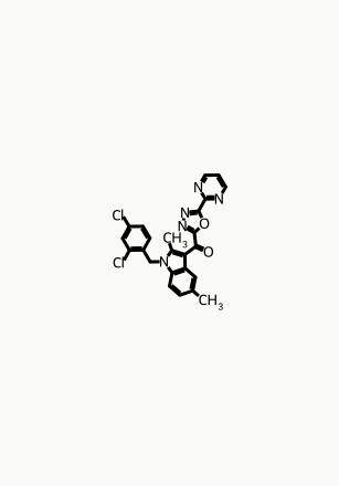 Cc1ccc2c(c1)c(C(=O)c1nnc(-c3ncccn3)o1)c(C)n2Cc1ccc(Cl)cc1Cl